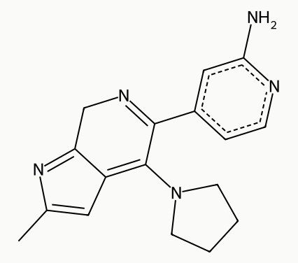 CC1=CC2=C(N3CCCC3)C(c3ccnc(N)c3)=NCC2=N1